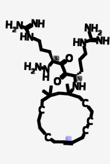 CC1(C)CCCCCC/C=C/CCCCCCC(C)(N[C@@H](CCCNC(=N)N)C(=O)C(=O)[C@H](CCCNC(=N)N)NN)C1